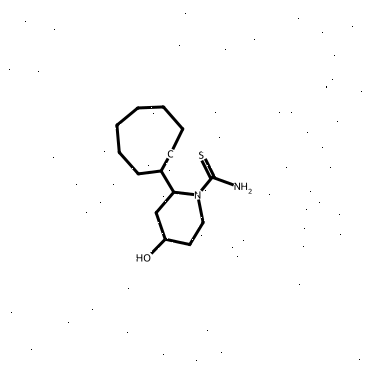 NC(=S)N1CCC(O)CC1C1CCCCCCC1